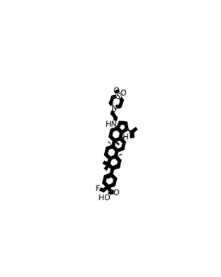 C=C(C)[C@@H]1CC[C@]2(NCCN3CCS(=O)(=O)CC3)CC[C@]3(C)[C@H](CCC4[C@@]5(C)CC=C(C6=CCC(CF)(C(=O)O)CC6)C(C)(C)C5CC[C@]43C)C12